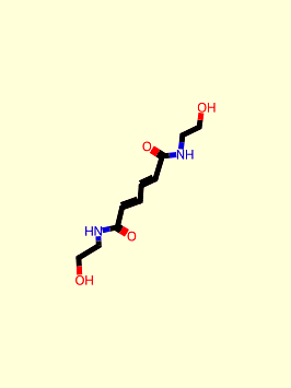 O=C(/C=C/C=C/C(=O)NCCO)NCCO